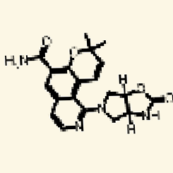 CC1(C)C=Cc2c(c(C(N)=O)cc3ccnc(N4C[C@@H]5OC(=O)N[C@@H]5C4)c23)O1